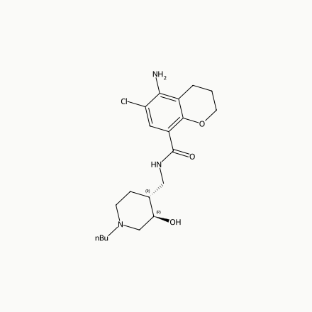 CCCCN1CC[C@H](CNC(=O)c2cc(Cl)c(N)c3c2OCCC3)[C@@H](O)C1